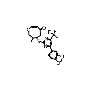 CC1COC=CC(=O)CC1Sc1nc(-c2ccc3c(c2)OCO3)cc(C(F)(F)F)n1